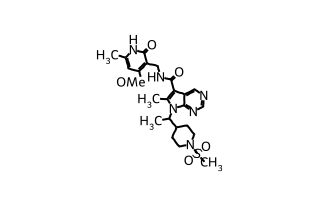 COc1cc(C)[nH]c(=O)c1CNC(=O)c1c(C)n(C(C)C2CCN(S(C)(=O)=O)CC2)c2ncncc12